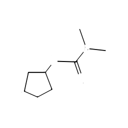 CN(C)C(=O)OC1[CH]CCC1